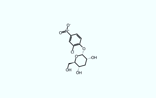 O=[N+]([O-])c1ccc(O[C@H]2O[C@H](CO)[C@@H](O)C[C@H]2O)c(Cl)c1